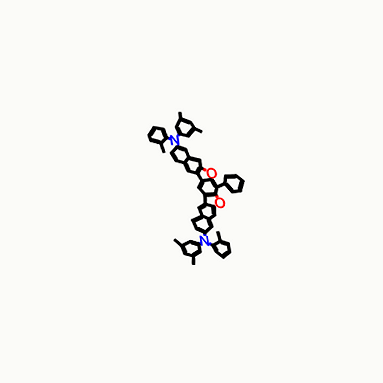 Cc1cc(C)cc(N(c2ccc3cc4c(cc3c2)oc2c(-c3ccccc3)c3oc5cc6cc(N(c7cc(C)cc(C)c7)c7ccccc7C)ccc6cc5c3cc24)c2ccccc2C)c1